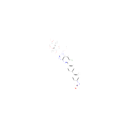 CCCOCn1c(O[C@@H]2CO[C@H]3[C@@H]2OC[C@H]3O)nc2nc(-c3ccc(-c4ccc(N=S(C)(C)=O)cc4F)cc3)c(F)cc21